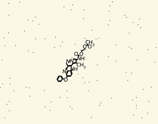 CC(=O)OCCOC(=O)Nc1cn2ncc(C#N)c(Nc3ccc(Oc4ccccc4)cc3)c2c1C